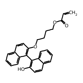 C=CC(=O)OCCCCOc1ccc2ccccc2c1-c1c(O)ccc2ccccc12